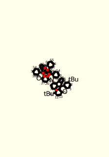 CC(C)(C)c1ccc2c(c1)C1(c3cc(C(C)(C)C)ccc3O2)c2ccccc2-c2c(N(c3ccc4c(c3)C3(c5ccccc5O4)c4ccccc4-c4ccccc43)c3ccccc3C3C=CC=C4Oc5ccccc5C43)cccc21